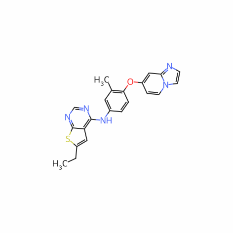 CCc1cc2c(Nc3ccc(Oc4ccn5ccnc5c4)c(C)c3)ncnc2s1